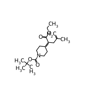 C=C(C)CC(C(=O)OCC)=C1CCN(C(=O)OC(C)(C)C)CC1